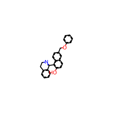 Oc1ccc2cc(COc3ccccc3)ccc2c1C1=NCCc2ccccc21